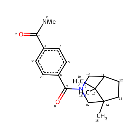 CNC(=O)c1ccc(C(=O)N2CC3CCC(C)(C2)C3(C)C)cc1